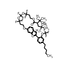 CCCCCc1ccc(-c2cc3ccc(OCCC(F)(F)OC(F)(F)OC(F)(F)CCOC(=O)C(CC(C)(C)C)C(C)(C)C)cc3o2)c(OC(F)(F)F)c1